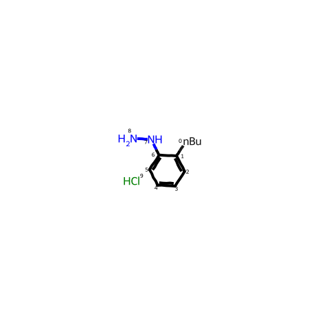 CCCCc1ccccc1NN.Cl